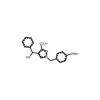 COc1ccc(Cn2cc(C(O)c3ccccc3)c(C(=O)O)n2)cc1